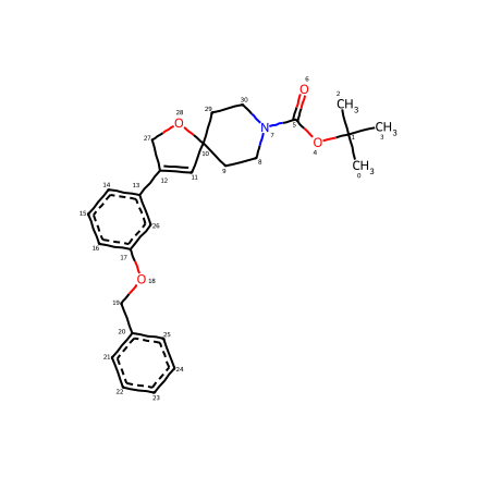 CC(C)(C)OC(=O)N1CCC2(C=C(c3cccc(OCc4ccccc4)c3)CO2)CC1